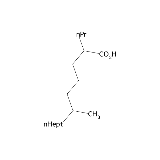 CCCCCCCC(C)CCCC(CCC)C(=O)O